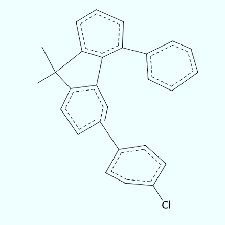 CC1(C)c2ccc(-c3ccc(Cl)cc3)cc2-c2c(-c3ccccc3)cccc21